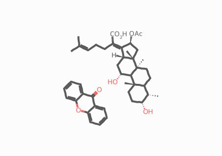 CC(=O)O[C@H]1C[C@@]2(C)[C@H](C[C@@H](O)C3[C@@]4(C)CC[C@@H](O)[C@@H](C)C4CC[C@@]32C)C1=C(CCC=C(C)C)C(=O)O.O=c1c2ccccc2oc2ccccc12